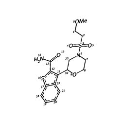 COCCS(=O)(=O)N1CCOC(c2c(C(N)=O)sc3ccccc23)C1